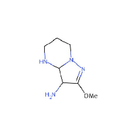 COC1=NN2CCCNC2C1N